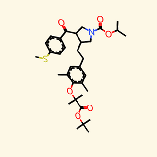 CSc1ccc(C(=O)C2CN(C(=O)OC(C)C)CC2CCc2cc(C)c(OC(C)(C)C(=O)OC(C)(C)C)c(C)c2)cc1